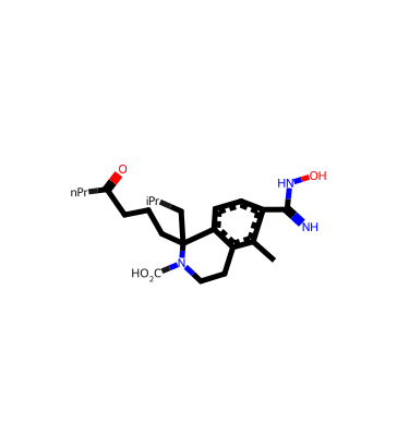 CCCC(=O)CCCC1(CC(C)C)c2ccc(C(=N)NO)c(C)c2CCN1C(=O)O